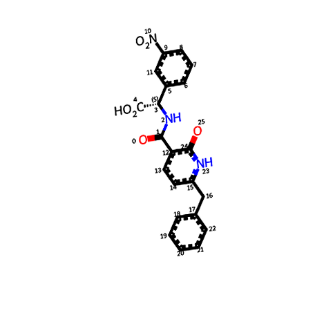 O=C(N[C@H](C(=O)O)c1cccc([N+](=O)[O-])c1)c1ccc(Cc2ccccc2)[nH]c1=O